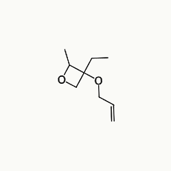 C=CCOC1(CC)COC1C